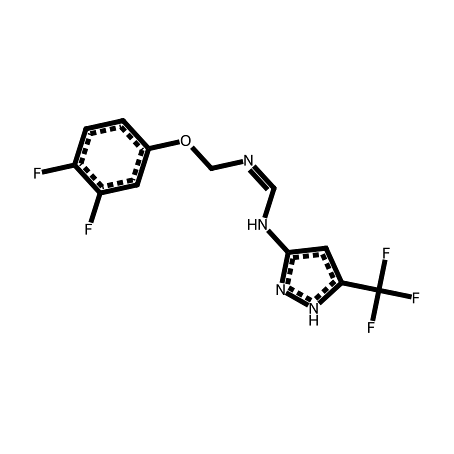 Fc1ccc(OC/N=C\Nc2cc(C(F)(F)F)[nH]n2)cc1F